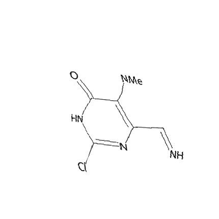 CNc1c(C=N)nc(Cl)[nH]c1=O